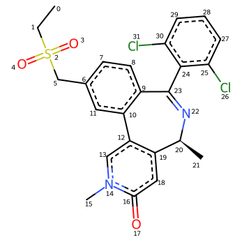 CCS(=O)(=O)Cc1ccc2c(c1)-c1cn(C)c(=O)cc1[C@H](C)N=C2c1c(Cl)cccc1Cl